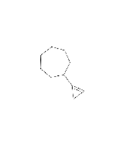 [C]1=C(C2CCCCCC2)C1